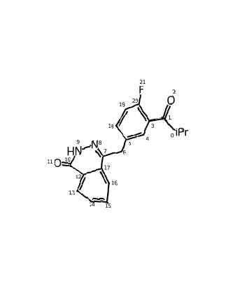 CC(C)C(=O)c1cc(Cc2n[nH]c(=O)c3ccccc23)ccc1F